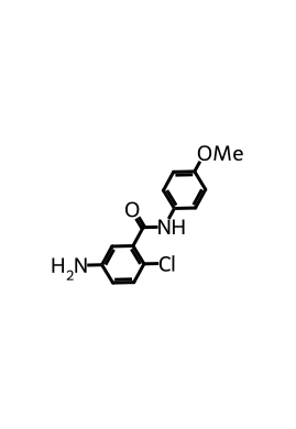 COc1ccc(NC(=O)c2cc(N)ccc2Cl)cc1